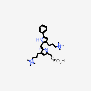 C[N+](C)(C)CCCC1=CC(CCC(=O)O)=N/C1=C\c1[nH]c(-c2ccccc2)cc1CCC[N+](C)(C)C